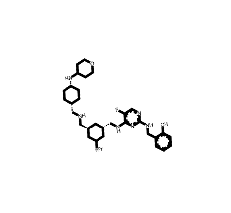 CCCC1C[C@@H](CNC[C@H]2CC[C@@H](NC3CCOCC3)CC2)C[C@H](CNc2nc(NCc3ccccc3O)ncc2F)C1